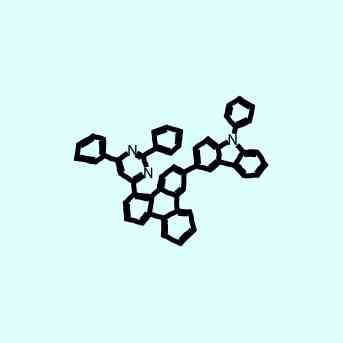 c1ccc(-c2cc(-c3cccc4c5ccccc5c5cc(-c6ccc7c(c6)c6ccccc6n7-c6ccccc6)ccc5c34)nc(-c3ccccc3)n2)cc1